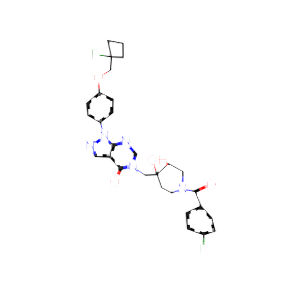 O=C(c1ccc(F)cc1)N1CCC(O)(Cn2cnc3c(cnn3-c3ccc(OCC4(F)CCC4)cc3)c2=O)CC1